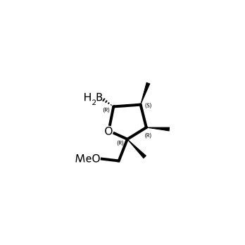 B[C@H]1O[C@@](C)(COC)[C@H](C)[C@@H]1C